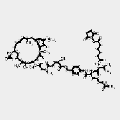 COc1cc2cc(c1Cl)N(C)C(=O)C[C@H](OC(=O)CN(C)C(=O)CCN(C)C(=O)OCc1ccc(NC(=O)[C@H](CCCNC(N)=O)NC(=O)[C@@H](NC(=O)CCCCC(=O)ON3C(=O)CCC3=O)C(C)C)cc1)[C@@H](C)[C@@H](O)[C@H](C)[C@@H]1CC(C/C=C/C=C(\C)C2)NC(=O)O1